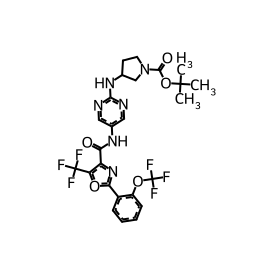 CC(C)(C)OC(=O)N1CCC(Nc2ncc(NC(=O)c3nc(-c4ccccc4OC(F)(F)F)oc3C(F)(F)F)cn2)C1